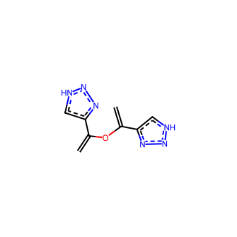 C=C(OC(=C)c1c[nH]nn1)c1c[nH]nn1